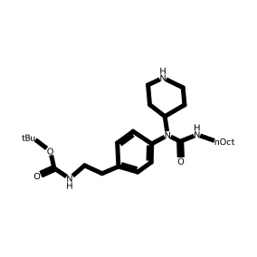 CCCCCCCCNC(=O)N(c1ccc(CCNC(=O)OC(C)(C)C)cc1)C1CCNCC1